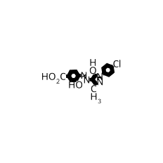 Cc1nn(-c2ccc(Cl)cc2)c(O)c1N=Nc1ccc(C(=O)O)cc1O